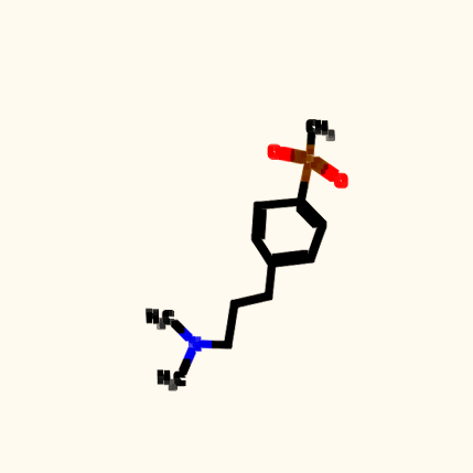 CN(C)CCCc1ccc(S(C)(=O)=O)cc1